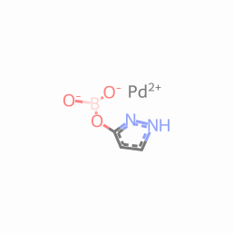 [O-]B([O-])Oc1cc[nH]n1.[Pd+2]